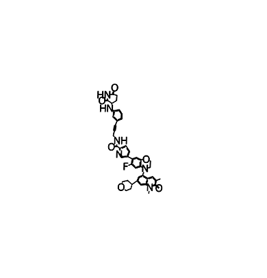 Cc1cc2c(N3CCOc4cc(-c5ccc(C(=O)NCC#Cc6cccc(NC7CCC(=O)NC7=O)c6)nc5)c(F)cc43)cc(C3CCOCC3)cc2n(C)c1=O